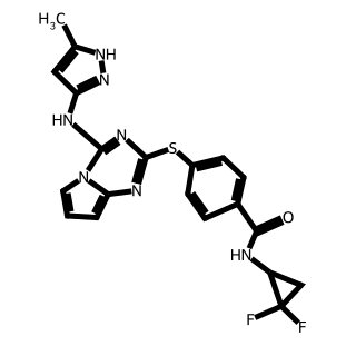 Cc1cc(Nc2nc(Sc3ccc(C(=O)NC4CC4(F)F)cc3)nc3cccn23)n[nH]1